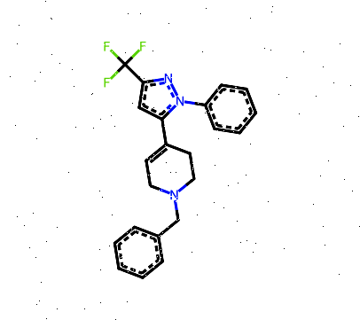 FC(F)(F)c1cc(C2=CCN(Cc3ccccc3)CC2)n(-c2ccccc2)n1